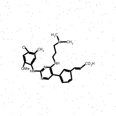 COc1cc(Cl)c(C)cc1Nc1ncc(-c2cccc(C=CC(=O)O)c2)c(NCCCN(C)C)n1